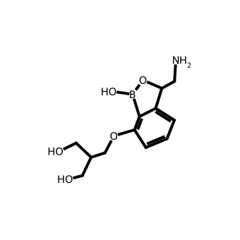 NCC1OB(O)c2c(OCC(CO)CO)cccc21